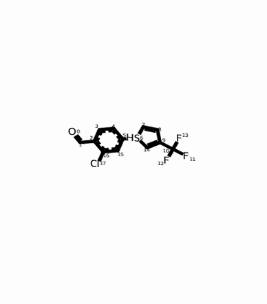 O=Cc1ccc([SH]2C=CC(C(F)(F)F)=C2)cc1Cl